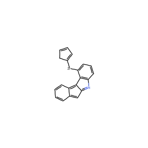 C1=CC[C]([Zr][c]2cccc3c2C2=c4ccccc4=CC2=N3)=C1